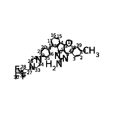 Cc1ccc(-c2nc(N)nc3c2C(=O)c2cccc(-c4ccc(N5CCN(CCC(F)(F)F)CC5)cc4)c2-3)cc1